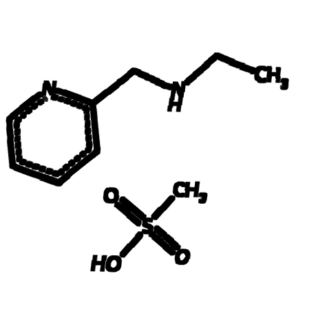 CCNCc1ccccn1.CS(=O)(=O)O